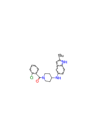 CC(C)(C)c1cc2cc(NC3CCN(C(=O)c4ccccc4Cl)CC3)ccc2[nH]1